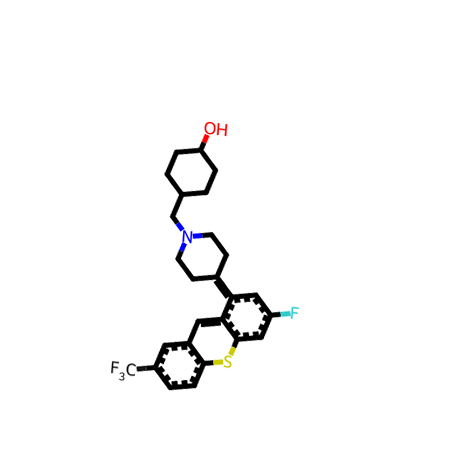 OC1CCC(CN2CCC(=c3cc(F)cc4c3=Cc3cc(C(F)(F)F)ccc3S4)CC2)CC1